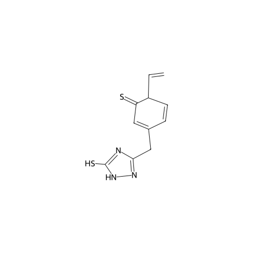 C=CC1C=CC(Cc2n[nH]c(S)n2)=CC1=S